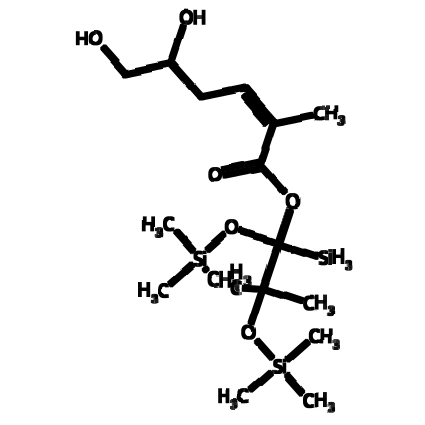 CC(=CCC(O)CO)C(=O)OC([SiH3])(O[Si](C)(C)C)C(C)(C)O[Si](C)(C)C